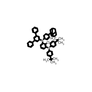 CC(C)(C)c1ccc(N(c2ccc(C(C)(C)C)cc2)c2cccc(N(c3ccc(C45CC6CC(CC(C6)C4)C5)cc3)c3cc(-c4ccccc4)cc(-c4ccccc4)c3)c2Cl)cc1